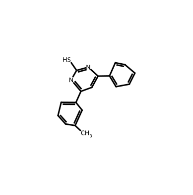 Cc1cccc(-c2cc(-c3ccccc3)nc(S)n2)c1